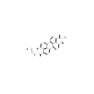 COC([C@H](C)C[P@](C)(=O)O)N1C(=O)c2ccc3c4ccc5c6c(ccc(c7ccc(c2c37)C1=O)c64)C(=O)N(C(C)C)C5=O